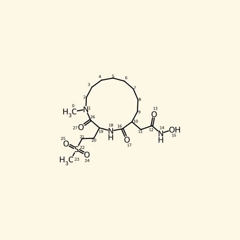 CN1CCCCCCCCC(CC(=O)NO)C(=O)NC(CCS(C)(=O)=O)C1=O